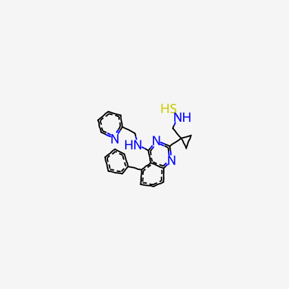 SNCC1(c2nc(NCc3ccccn3)c3c(-c4ccccc4)cccc3n2)CC1